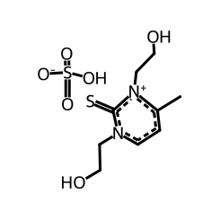 Cc1ccn(CCO)c(=S)[n+]1CCO.O=S(=O)([O-])O